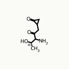 C[C@@H](O)C(N)C(=O)CC1CC1=O